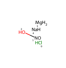 Cl.O=NO.[MgH2].[NaH]